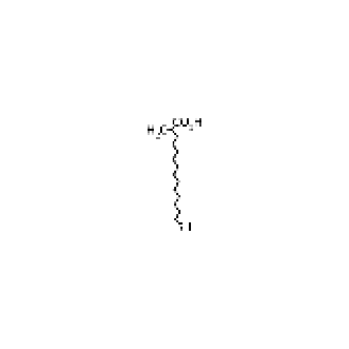 C=C(CCCCCCCCCCCCS)C(=O)O